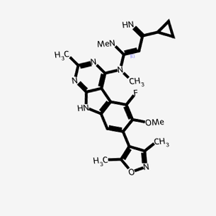 CN/C(=C\C(=N)C1CC1)N(C)c1nc(C)nc2[nH]c3cc(-c4c(C)noc4C)c(OC)c(F)c3c12